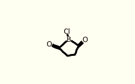 O=C1CCC(=O)B1Cl